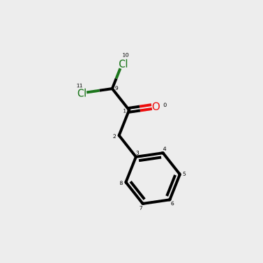 O=C(Cc1ccccc1)C(Cl)Cl